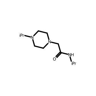 CC(C)NC(=O)CN1CCN(C(C)C)CC1